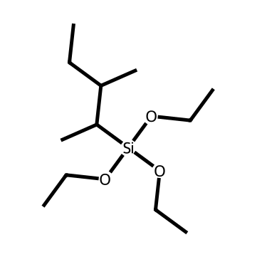 CCO[Si](OCC)(OCC)C(C)C(C)CC